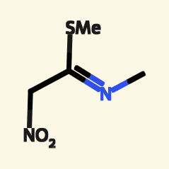 CN=C(C[N+](=O)[O-])SC